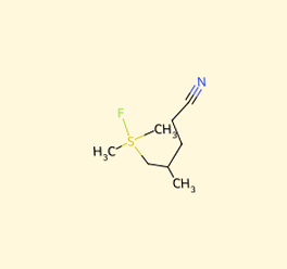 CC(CCC#N)CS(C)(C)F